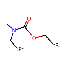 CC(C)CN(C)C(=O)OCC(C)(C)C